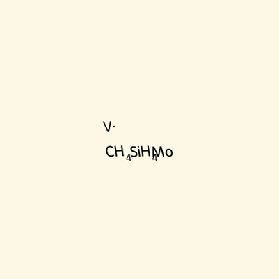 C.[Mo].[SiH4].[V]